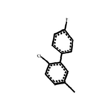 Cc1[c]cc(Cl)c(-c2ccc(F)cc2)c1